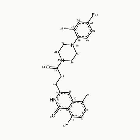 Cc1ccc(F)c2c(=O)[nH]c(CCC(=O)N3CCN(c4ccc(F)cc4F)CC3)cc12